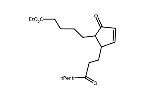 CCCCCC(=O)CCC1C=CC(=O)C1CCCCC(=O)OCC